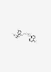 CN(C)c1cccc2c(S(=O)(=O)NCCCCCC3(c4cccc(Cl)c4)NC(=O)NC3=O)cccc12